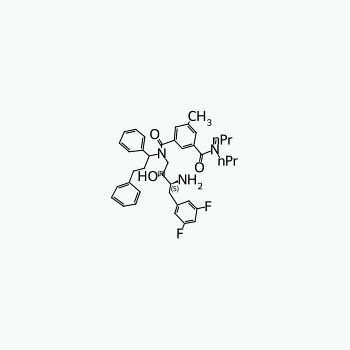 CCCN(CCC)C(=O)c1cc(C)cc(C(=O)N(C[C@@H](O)[C@@H](N)Cc2cc(F)cc(F)c2)C(CCc2ccccc2)c2ccccc2)c1